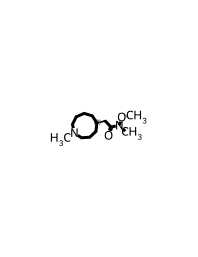 CON(C)C(=O)C[C@@H]1CCCCN(C)CCC1